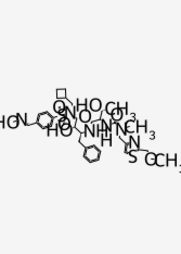 COCc1nc(CN(C)C(=O)N[C@H](C(=O)N[C@@H](Cc2ccccc2)[C@H](O)CN(CC2CCC2)S(=O)(=O)c2ccc(/C=N/O)cc2)[C@@H](C)O)cs1